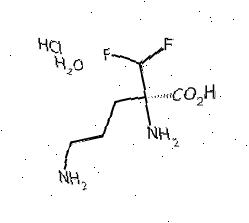 Cl.NCCC[C@@](N)(C(=O)O)C(F)F.O